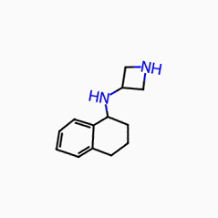 c1ccc2c(c1)CCCC2NC1CNC1